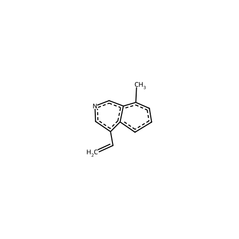 C=Cc1cncc2c(C)cccc12